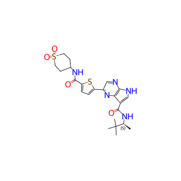 C[C@H](NC(=O)c1c[nH]c2ncc(-c3ccc(C(=O)NC4CCS(=O)(=O)CC4)s3)nc12)C(C)(C)C